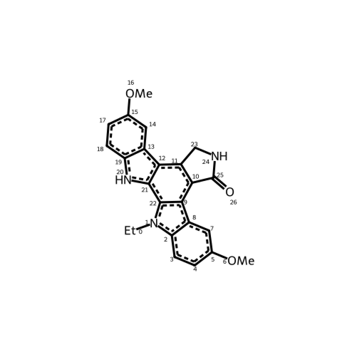 CCn1c2ccc(OC)cc2c2c3c(c4c5cc(OC)ccc5[nH]c4c21)CNC3=O